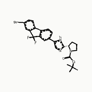 CC(C)(C)OC(=O)N1CCC[C@H]1c1ncc(-c2ccc3c(c2)C(F)(F)c2cc(Br)ccc2-3)[nH]1